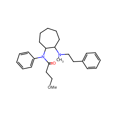 COCCC(=O)N(c1ccccc1)C1CCCCCC1N(C)CCc1ccccc1